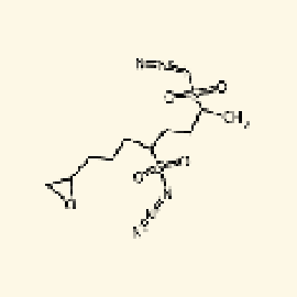 CC(CCC(CCCC1CO1)S(=O)(=O)N=[N+]=[N-])S(=O)(=O)N=[N+]=[N-]